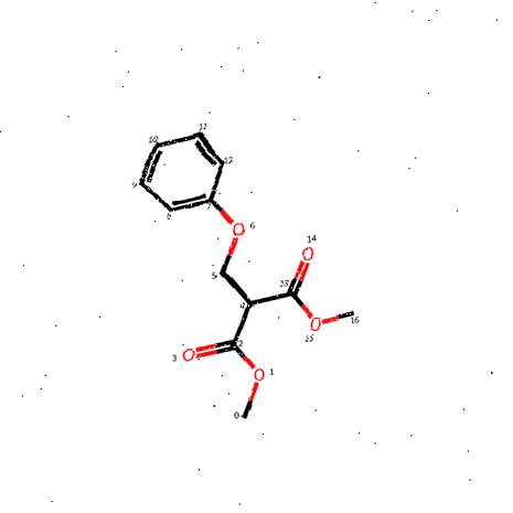 COC(=O)C(COc1ccccc1)C(=O)OC